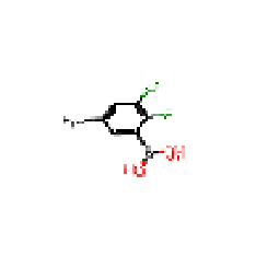 OB(O)c1cc(C(F)(F)F)cc(Cl)c1F